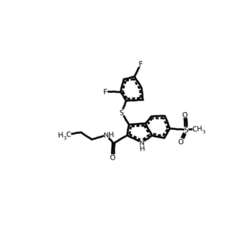 CCCNC(=O)c1[nH]c2cc(S(C)(=O)=O)ccc2c1Sc1ccc(F)cc1F